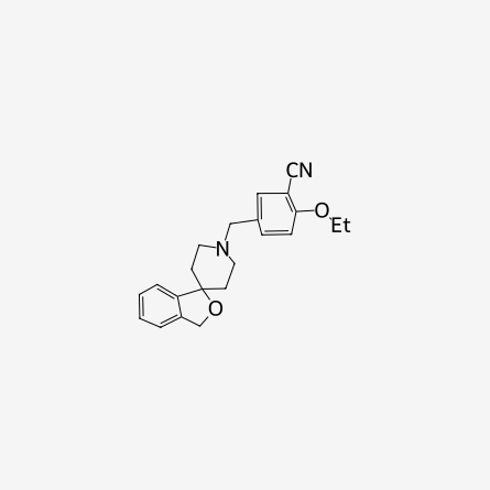 CCOc1ccc(CN2CCC3(CC2)OCc2ccccc23)cc1C#N